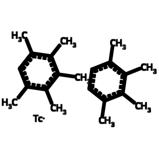 Cc1cc(C)c(C)c(C)c1C.Cc1ccc(C)c(C)c1C.[Tc]